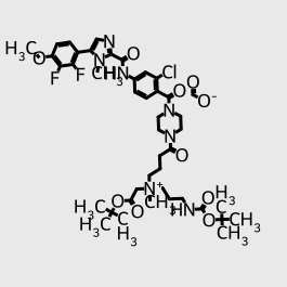 COc1ccc(-c2cnc(C(=O)Nc3ccc(C(=O)N4CCN(C(=O)CCC[N+](C)(CCCNC(=O)OC(C)(C)C)CC(=O)OC(C)(C)C)CC4)c(Cl)c3)n2C)c(F)c1F.O=C[O-]